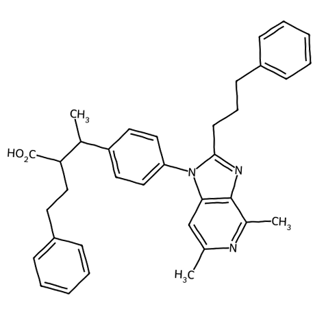 Cc1cc2c(nc(CCCc3ccccc3)n2-c2ccc(C(C)C(CCc3ccccc3)C(=O)O)cc2)c(C)n1